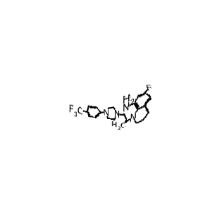 C=C(CN1CCN(c2ccc(C(F)(F)F)cc2)CC1)N1CCCc2cc(F)cc(N)c21